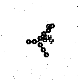 CC1(C)c2cc(-c3ccc4c(c3)oc3ccccc34)ccc2-c2ccc(C(c3ccc(-c4ccccc4)cc3)c3ccc(-c4ccc(-c5ccccc5)cc4)cc3)cc21